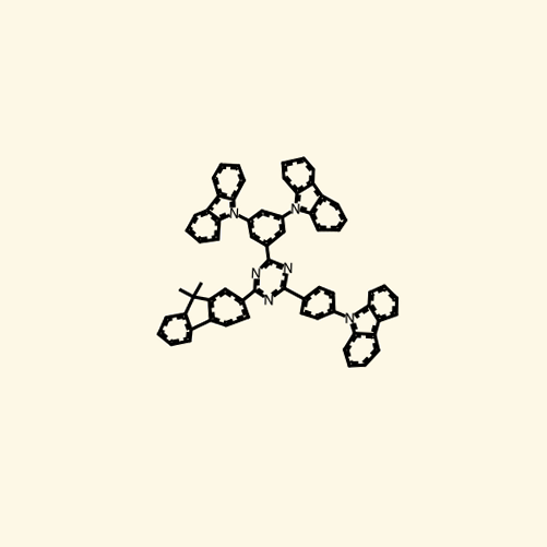 CC1(C)c2ccccc2-c2ccc(-c3nc(-c4ccc(-n5c6ccccc6c6ccccc65)cc4)nc(-c4cc(-n5c6ccccc6c6ccccc65)cc(-n5c6ccccc6c6ccccc65)c4)n3)cc21